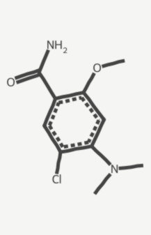 COc1cc(N(C)C)c(Cl)cc1C(N)=O